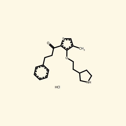 Cc1csc(C(=O)CCc2ccccc2)c1OCCC1CCNC1.Cl